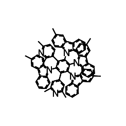 Cc1ccc2c(c1)c1ccccc1n2-c1c(-c2cc(C)nc(C)c2)c(-n2c3ccccc3c3cc(C)ccc32)c(-n2c3ccccc3c3cc(C)ccc32)c(-n2c3ccccc3c3cc(C)ccc32)c1-c1ccc(C)nc1C